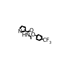 CC(NC(=O)c1cccnc1)Oc1ccc(C(F)(F)F)cc1